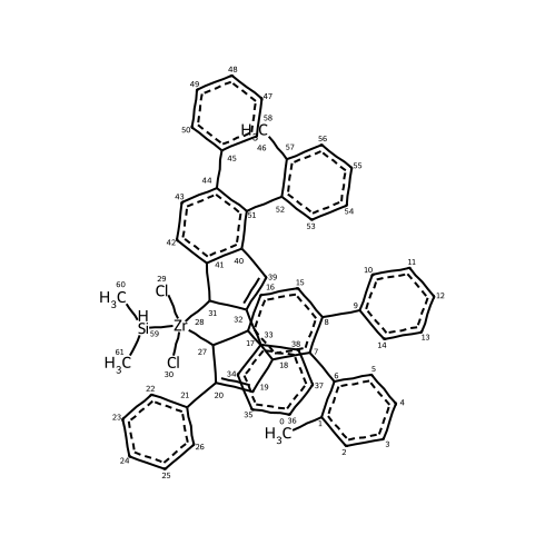 Cc1ccccc1-c1c(-c2ccccc2)ccc2c1C=C(c1ccccc1)[CH]2[Zr]([Cl])([Cl])([CH]1C(c2ccccc2)=Cc2c1ccc(-c1ccccc1)c2-c1ccccc1C)[SiH](C)C